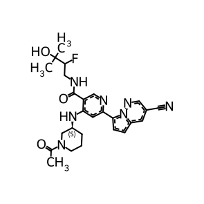 CC(=O)N1CCC[C@H](Nc2cc(-c3ccc4cc(C#N)cnn34)ncc2C(=O)NCC(F)C(C)(C)O)C1